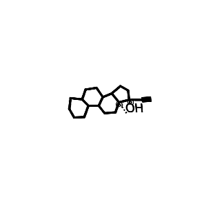 C#C[C@]1(O)CCC2C3CCC4CCCCC4C3CC[C@@]21C